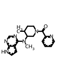 CC1CCN(C(=O)c2ccccn2)CC1N(C)c1ncnc2[nH]ccc12